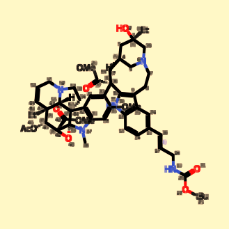 CC[C@]1(O)C[C@H]2CN(CCc3c([nH]c4ccc(/C=C/CNC(=O)OC(C)(C)C)cc34)[C@@](C(=O)OC)(c3cc4c(cc3OC)N(C)[C@@]35O[C@]3(C(=O)OC)[C@H](OC(C)=O)[C@]3(CC)C=CCN6CC[C@]45[C@@H]63)C2)C1